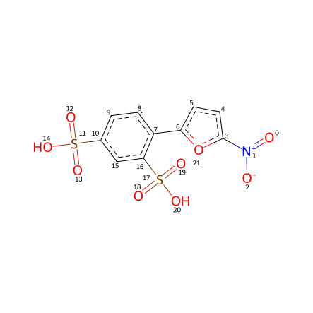 O=[N+]([O-])c1ccc(-c2[c]cc(S(=O)(=O)O)cc2S(=O)(=O)O)o1